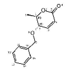 C[C@H]1OC(=O)C=C[C@@H]1OCc1ccccc1